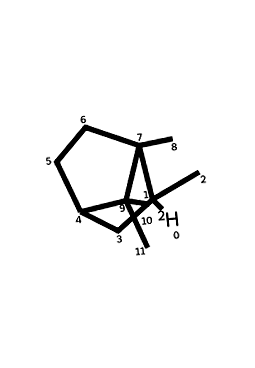 [2H]C1(C)CC2CCC1(C)C2(C)C